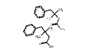 CC(=O)OC(C)(C)Cc1ccccc1.CC(C)(CC(=O)O)Cc1ccccc1